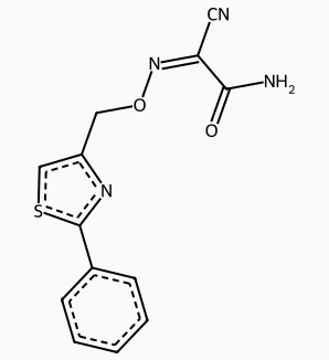 N#C/C(=N/OCc1csc(-c2ccccc2)n1)C(N)=O